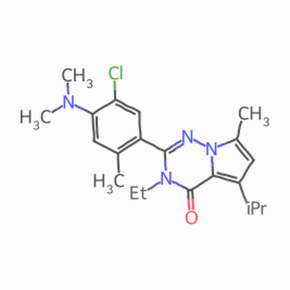 CCn1c(-c2cc(Cl)c(N(C)C)cc2C)nn2c(C)cc(C(C)C)c2c1=O